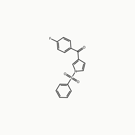 O=C(c1ccc(F)cc1)c1ccn(S(=O)(=O)c2ccccc2)c1